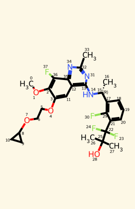 COc1c(OCCOC2CC2)cc2c(N[C@H](C)c3cccc(C(F)(F)C(C)(C)O)c3F)nc(C)nc2c1F